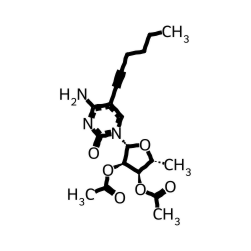 CCCCC#Cc1cn([C@@H]2O[C@H](C)[C@@H](OC(C)=O)[C@H]2OC(C)=O)c(=O)nc1N